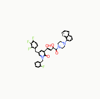 O=C(C=C(O)c1cc(Cc2ccc(F)c(F)c2F)cn(Cc2ccccc2F)c1=O)C(=O)N1CCN(c2cccc3ccccc23)CC1